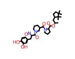 CC(CC1CCC(C)(C)C1(C)C)OC(=O)C1CCCN1C(=O)C1CCCN(C(=O)C(Cc2ccc(O)c(O)c2)N=O)C1